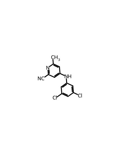 Cc1cc(Nc2cc(Cl)cc(Cl)c2)cc(C#N)n1